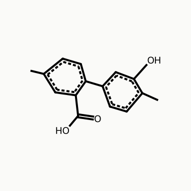 Cc1ccc(-c2ccc(C)c(O)c2)c(C(=O)O)c1